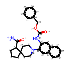 NC(=O)C1CCCC12CCN(c1cc3ccccc3cc1NC(=O)OCc1ccccc1)CC2